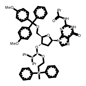 COc1ccc(C(OC[C@H]2O[C@@H](n3cnc4c(=O)[nH]c(NC(=O)C(C)C)nc43)C[C@@H]2OP(OCC[Si](C)(c2ccccc2)c2ccccc2)N(C(C)C)C(C)C)(c2ccccc2)c2ccc(OC)cc2)cc1